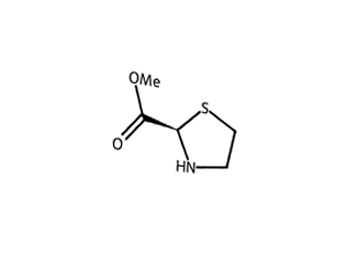 COC(=O)[C@@H]1NCCS1